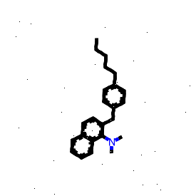 CCCCCc1ccc(Cc2ccc3ccccc3c2N(C)C)cc1